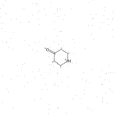 O=C1CCPCC1